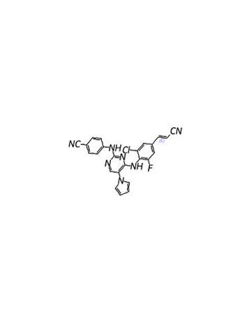 N#C/C=C/c1cc(F)c(Nc2nc(Nc3ccc(C#N)cc3)ncc2-n2cccc2)c(Cl)c1